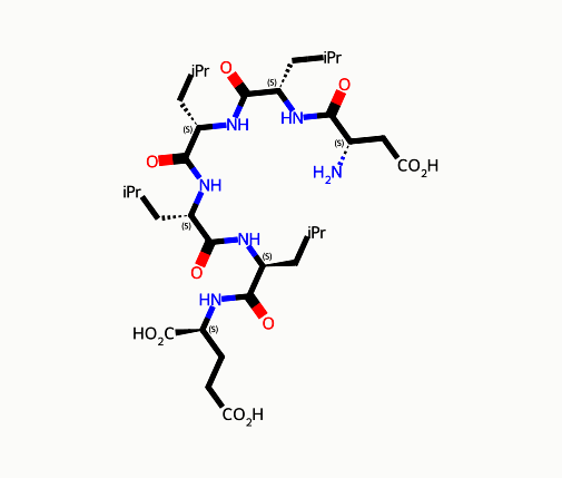 CC(C)C[C@H](NC(=O)[C@H](CC(C)C)NC(=O)[C@H](CC(C)C)NC(=O)[C@H](CC(C)C)NC(=O)[C@@H](N)CC(=O)O)C(=O)N[C@@H](CCC(=O)O)C(=O)O